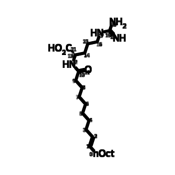 CCCCCCCC/C=C/CCCCCCCC(=O)N[C@@H](CCCNC(=N)N)C(=O)O